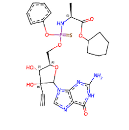 C#C[C@]1(O)C(n2cnc3c(=O)[nH]c(N)nc32)O[C@H](COP(=S)(N[C@@H](C)C(=O)OC2CCCCC2)Oc2ccccc2)[C@H]1O